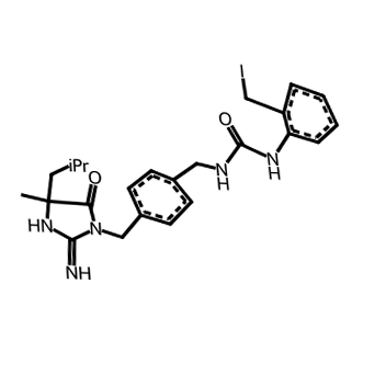 CC(C)CC1(C)NC(=N)N(Cc2ccc(CNC(=O)Nc3ccccc3CI)cc2)C1=O